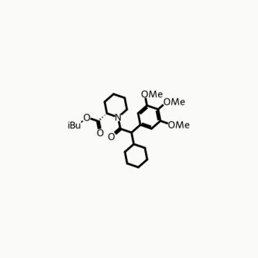 CC[C@@H](C)OC(=O)[C@@H]1CCCCN1C(=O)C(c1cc(OC)c(OC)c(OC)c1)C1CCCCC1